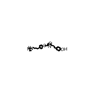 Oc1ccc(C=Cc2nc(COc3ccc(CCCCn4ccnn4)cc3)co2)cc1